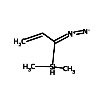 C=CC(=[N+]=[N-])[SiH](C)C